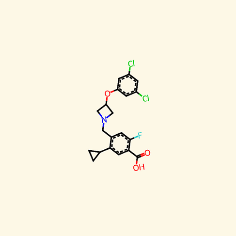 O=C(O)c1cc(C2CC2)c(CN2CC(Oc3cc(Cl)cc(Cl)c3)C2)cc1F